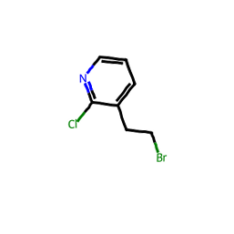 Clc1ncccc1CCBr